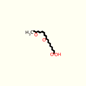 CCC(=O)/C=C/C=C\C=C\C(=O)CCCCCCCC(=O)O